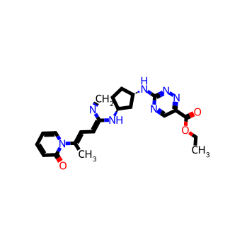 C=N/C(=C\C=C(/C)n1ccccc1=O)N[C@H]1CC[C@H](Nc2ncc(C(=O)OCC)nn2)C1